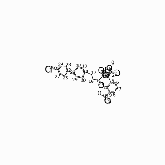 COC(=O)Cc1cccc(C(C)=O)c1OC(CCc1ccc(-c2ccc(Cl)cc2)cc1)C(=O)O